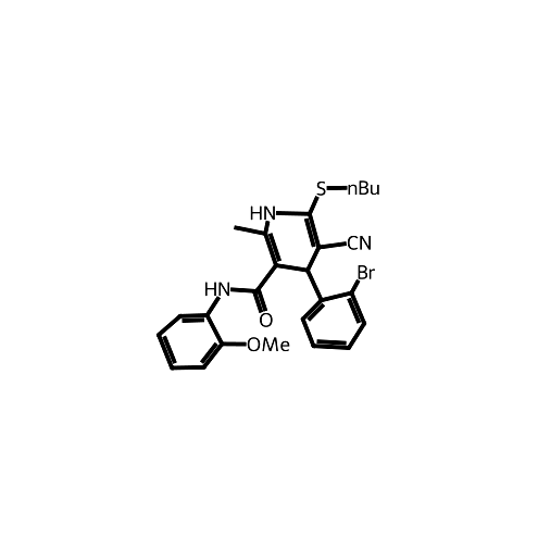 CCCCSC1=C(C#N)C(c2ccccc2Br)C(C(=O)Nc2ccccc2OC)=C(C)N1